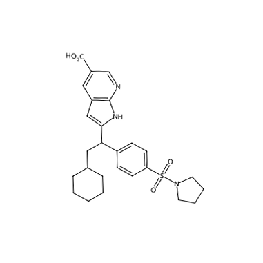 O=C(O)c1cnc2[nH]c(C(CC3CCCCC3)c3ccc(S(=O)(=O)N4CCCC4)cc3)cc2c1